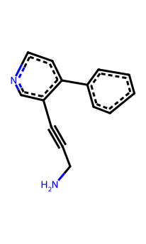 NCC#Cc1cnccc1-c1ccccc1